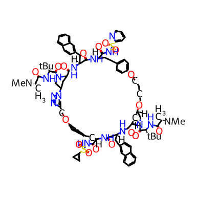 CN[C@@H](C)C(=O)N[C@H](C(=O)N1CC2CC1C(=O)N[C@@H](Cc1ccc3ccccc3c1)C(=O)N[C@H](C(=O)NS(=O)(=O)c1ccccn1)Cc1ccc(cc1)OCCCCO[C@H]1C[C@@H](C(=O)N[C@@H](Cc3ccc4ccccc4c3)C(=O)N[C@H](C(=O)NS(=O)(=O)C3CC3)Cc3ccc(cc3)OCc3cn2nn3)N(C(=O)[C@@H](NC(=O)[C@H](C)NC)C(C)(C)C)C1)C(C)(C)C